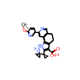 COc1ccc(-c2cc3c(cn2)CCc2c-3[nH]c(C3(C4(N)CC4)CC3)c2C(=O)O)cn1